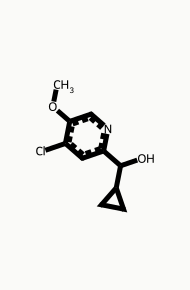 COc1cnc(C(O)C2CC2)cc1Cl